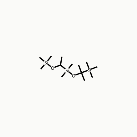 CC(O[Si](C)(C)C)[Si](C)(C)OC(C)(C)[Si](C)(C)C